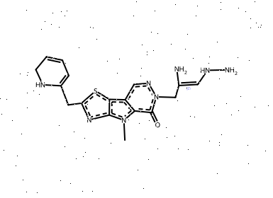 Cn1c2nc(CC3=CC=CCN3)sc2c2cnn(C/C(N)=C/NN)c(=O)c21